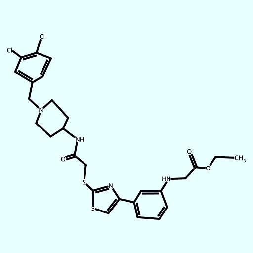 CCOC(=O)CNc1cccc(-c2csc(SCC(=O)NC3CCN(Cc4ccc(Cl)c(Cl)c4)CC3)n2)c1